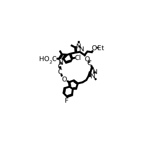 CCOCCC1OCc2cc(n(C)n2)CCc2cc(c3ccc(F)cc3c2)OCCCn2c(C(=O)O)c(C)c3c(c(Cl)ccc32)-c2c1nn(C)c2C